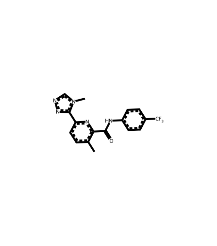 Cc1ccc(-c2nncn2C)nc1C(=O)Nc1ccc(C(F)(F)F)cc1